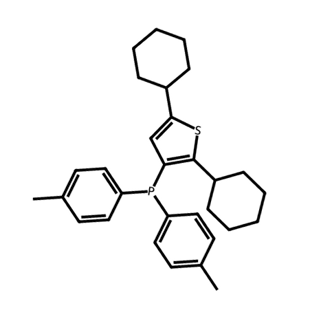 Cc1ccc(P(c2ccc(C)cc2)c2cc(C3CCCCC3)sc2C2CCCCC2)cc1